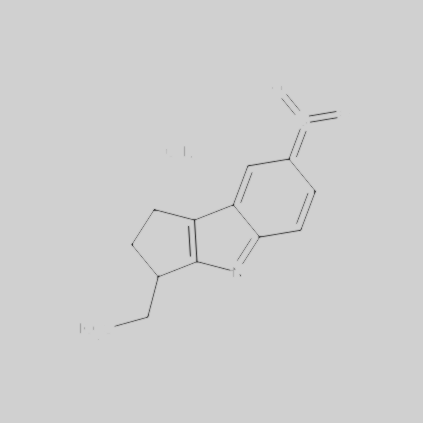 C.O=C(O)CC1CCC2=C1N=C1C=CC(=S(=O)=O)C=C12